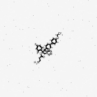 NCCC(=O)OC(Cn1cnnn1)(c1ccc(F)cc1F)C(F)(F)c1ccc(-c2ccc(OCC(F)(F)F)cc2)cn1